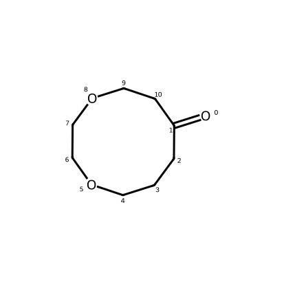 O=C1CCCOCCOCC1